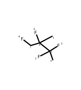 CC(F)(F)C(C)(F)CF